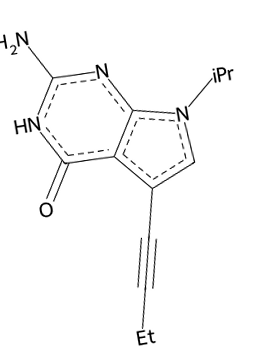 CCC#Cc1cn(C(C)C)c2nc(N)[nH]c(=O)c12